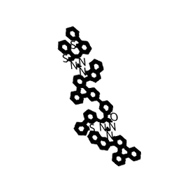 c1ccc2c(c1)ccc1c3c4c5ccccc5c5ccccc5c4ccc3n(-c3nc(-c4cccc5c4sc4ccccc45)c4c(n3)oc3ccc(-c5ccc6c(c5)c5ccccc5c5ccc7c(c8ccc9ccccc9c8n7-c7nc(-c8cccc9c8sc8ccccc89)c8c(n7)sc7ccccc78)c56)cc34)c21